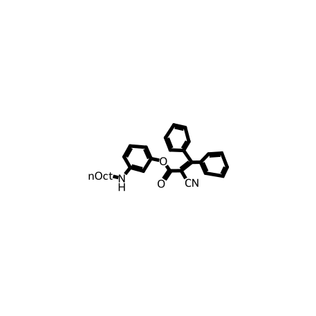 CCCCCCCCNc1cccc(OC(=O)C(C#N)=C(c2ccccc2)c2ccccc2)c1